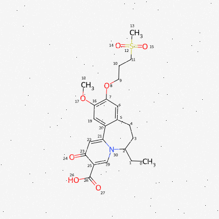 CCC1CCc2cc(OCCCS(C)(=O)=O)c(OC)cc2-c2cc(=O)c(C(=O)O)cn21